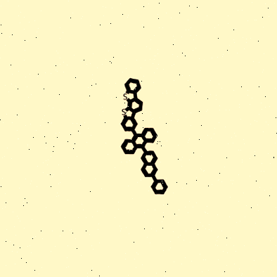 c1ccc(-c2ccc3cc(-c4c5ccccc5c(-c5ccc6sc7c(ccc8c9ccccc9sc87)c6c5)c5ccccc45)ccc3c2)cc1